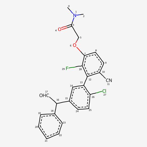 CN(C)C(=O)COc1ccc(C#N)c(-c2cc(C(C=O)c3ccccc3)ccc2Cl)c1F